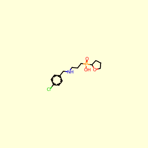 O=P(O)(CCCNCc1ccc(Cl)cc1)C1CCCO1